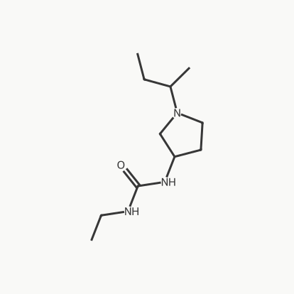 CCNC(=O)NC1CCN(C(C)CC)C1